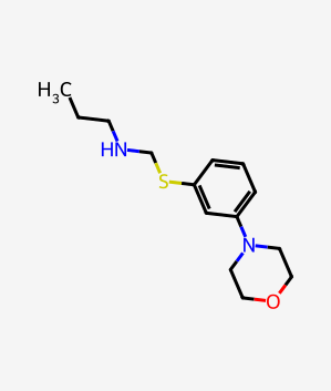 CCCNCSc1cccc(N2CCOCC2)c1